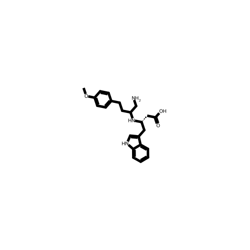 COc1ccc(CCC(CN)N[C@H](CC(=O)O)Cc2c[nH]c3ccccc23)cc1